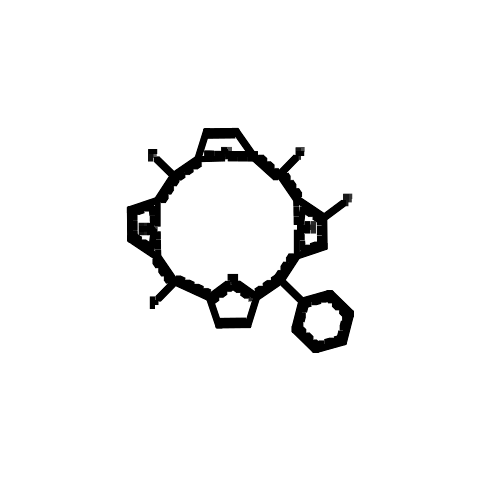 Fc1c2nc(c(-c3ccccc3)c3cc(F)c([nH]3)c(F)c3nc(c(F)c4ccc1[nH]4)C=C3)C=C2